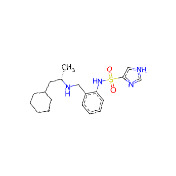 C[C@@H](CC1CCCCC1)NCc1ccccc1NS(=O)(=O)c1c[nH]cn1